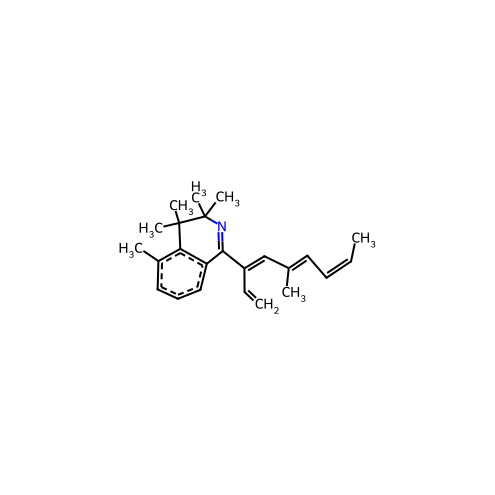 C=C\C(=C/C(C)=C/C=C\C)C1=NC(C)(C)C(C)(C)c2c(C)cccc21